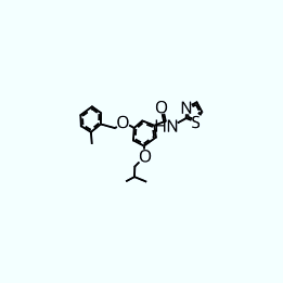 Cc1ccccc1COc1cc(OCC(C)C)cc(C(=O)Nc2nccs2)c1